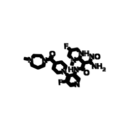 CN1CCCN(C(=O)C2CCN(c3c(F)cncc3NC(=O)C(C(N)N=O)C3NCC(F)CN3C)CC2)CC1